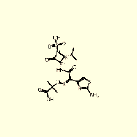 CC(C)[C@@H]1[C@H](NC(=O)C(=NOC(C)(C)C(=O)O)c2csc(N)n2)C(=O)N1S(=O)(=O)O